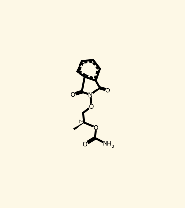 C[C@@H](CON1C(=O)c2ccccc2C1=O)OC(N)=O